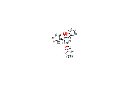 Oc1c(-c2ccccc2)cc(COC2CCCC2)cc1-c1ccccc1